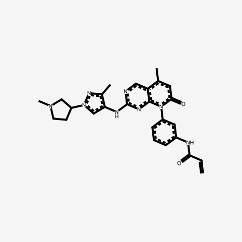 C=CC(=O)Nc1cccc(-n2c(=O)cc(C)c3cnc(Nc4cn(C5CCN(C)C5)nc4C)nc32)c1